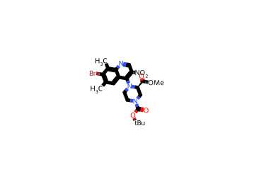 COC(=O)[C@H]1CN(C(=O)OC(C)(C)C)CCN1c1c([N+](=O)[O-])cnc2c(C)c(Br)c(C)cc12